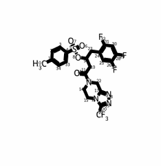 Cc1ccc(S(=O)(=O)OC(CC(=O)N2CCn3c(nnc3C(F)(F)F)C2)Cc2cc(F)c(F)cc2F)cc1